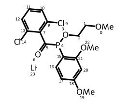 COCCOP(C(=O)c1c(Cl)cccc1Cl)c1ccc(OC)cc1OC.[Li]